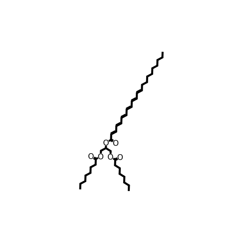 CCCCCCCCCC=CC=CC=CC=CC=CC=CC(=O)OC(COC(=O)CCCCCCC)COC(=O)CCCCCCC